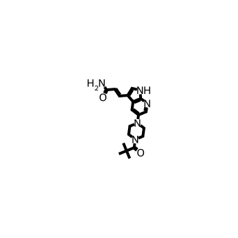 CC(C)(C)C(=O)N1CCN(c2cnc3[nH]cc(/C=C/C(N)=O)c3c2)CC1